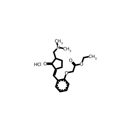 CCOC(=O)COc1ccccc1C=C1CCC(CN(C)C)C1=O.Cl